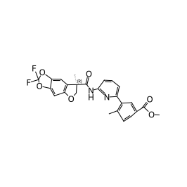 COC(=O)c1ccc(C)c(-c2cccc(NC(=O)[C@@]3(C)COc4cc5c(cc43)OC(F)(F)O5)n2)c1